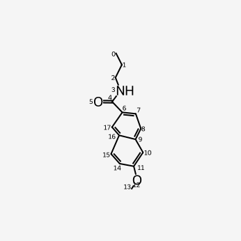 CCCNC(=O)c1ccc2cc(OC)ccc2c1